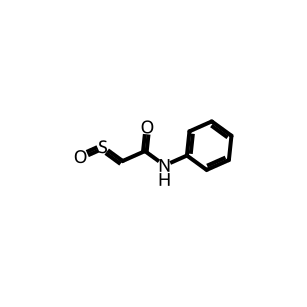 O=S=CC(=O)Nc1ccccc1